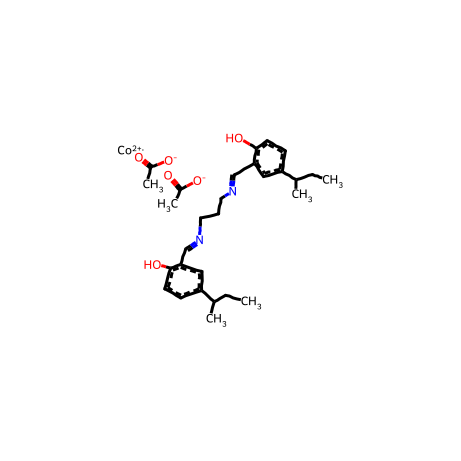 CC(=O)[O-].CC(=O)[O-].CCC(C)c1ccc(O)c(C=NCCCN=Cc2cc(C(C)CC)ccc2O)c1.[Co+2]